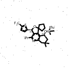 CC(C)c1nc2c(c3c1[C@@H](c1ccc(C(F)(F)F)s1)OC31CCCC1)[C@@H](O[Si](C)(C)C(C)(C)C)CC(C)(C)C2